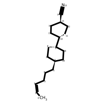 C/C=C\CCC[C@H]1CC[C@H]([C@H]2CC[C@H](C#N)CC2)CC1